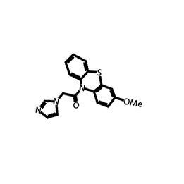 COc1ccc2c(c1)Sc1ccccc1N2C(=O)Cn1ccnc1